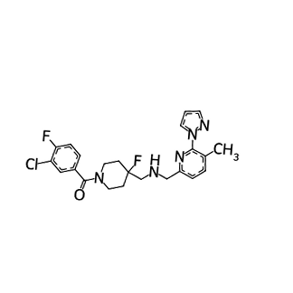 Cc1ccc(CNCC2(F)CCN(C(=O)c3ccc(F)c(Cl)c3)CC2)nc1-n1cccn1